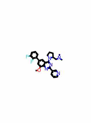 COc1cc(-c2cccc(F)c2F)cc2c(N3CCCC3CN(C)C)nc(-c3cccnc3)nc12